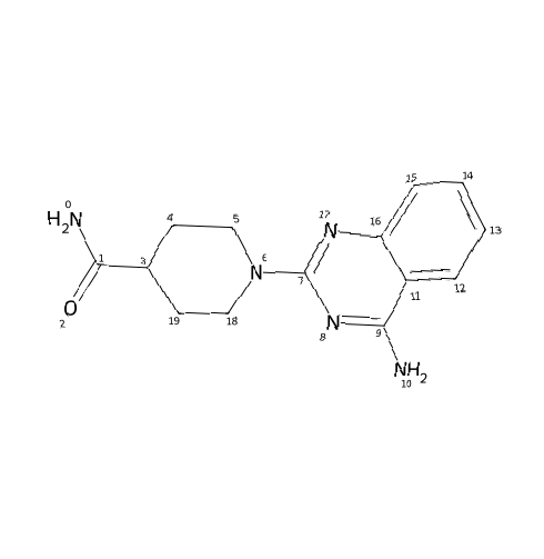 NC(=O)C1CCN(c2nc(N)c3ccccc3n2)CC1